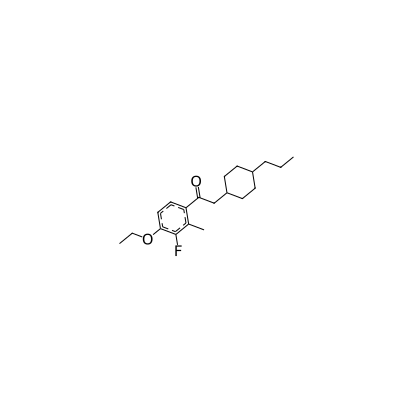 CCCC1CCC(CC(=O)c2ccc(OCC)c(F)c2C)CC1